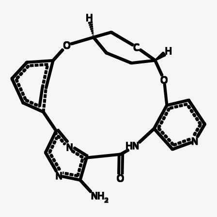 Nc1ncc2nc1C(=O)Nc1cnccc1O[C@H]1CC[C@@H](CC1)Oc1cccc-2c1